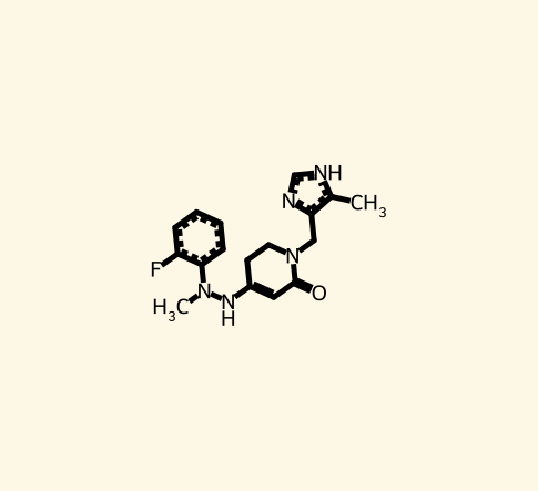 Cc1[nH]cnc1CN1CCC(NN(C)c2ccccc2F)=CC1=O